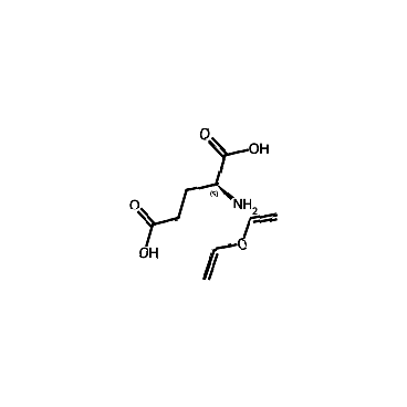 C=COC=C.N[C@@H](CCC(=O)O)C(=O)O